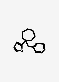 c1ccc(CC2(c3cccs3)CCCCCC2)cc1